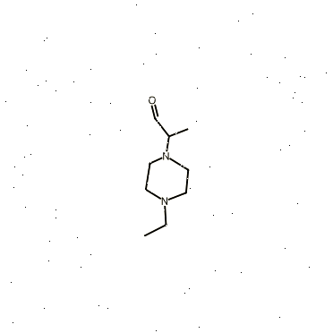 CCN1CCN(C(C)C=O)CC1